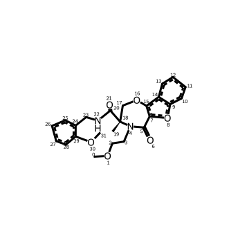 COCCN1C(=O)c2oc3ccccc3c2OC[C@@]1(C)C(=O)NCc1ccccc1OC